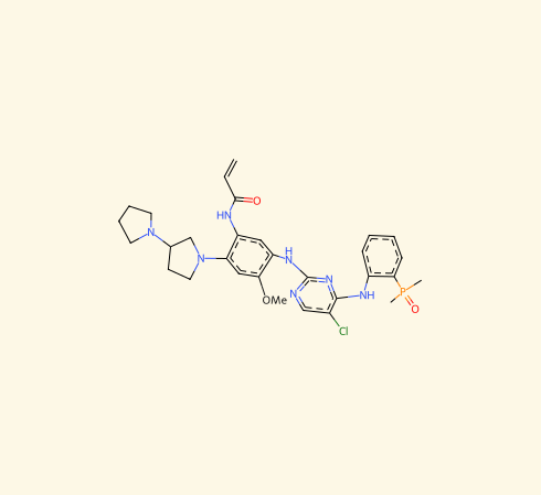 C=CC(=O)Nc1cc(Nc2ncc(Cl)c(Nc3ccccc3P(C)(C)=O)n2)c(OC)cc1N1CCC(N2CCCC2)C1